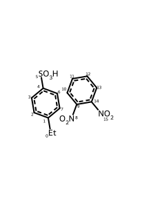 CCc1ccc(S(=O)(=O)O)cc1.O=[N+]([O-])c1ccccc1[N+](=O)[O-]